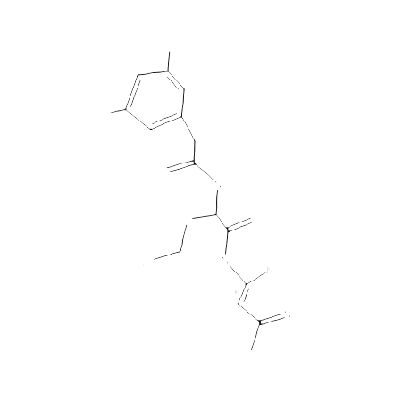 CC(C)(C)C(=N)/C=C(\N)NC(=O)C(NC(=O)Cc1cc(F)cc(F)c1)SCC(F)(F)F